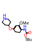 COC1=C(NC(=O)OC(C)(C)C)CCC(OC2CCNCC2)=C1